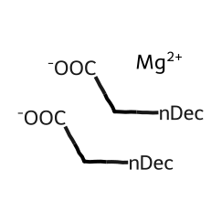 CCCCCCCCCCCC(=O)[O-].CCCCCCCCCCCC(=O)[O-].[Mg+2]